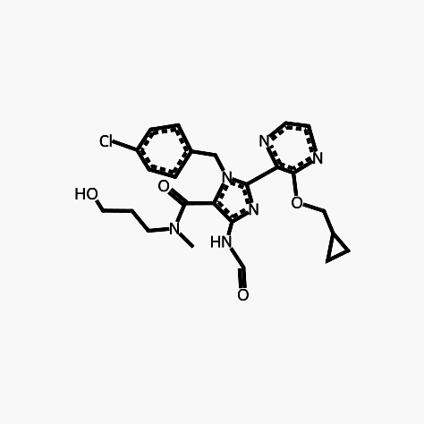 CN(CCCO)C(=O)c1c(NC=O)nc(-c2nccnc2OCC2CC2)n1Cc1ccc(Cl)cc1